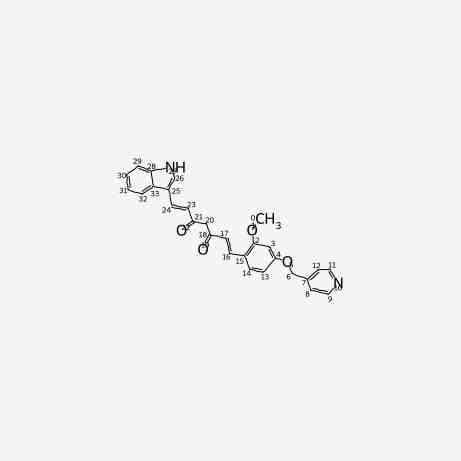 COc1cc(OCc2ccncc2)ccc1/C=C/C(=O)CC(=O)/C=C/c1c[nH]c2ccccc12